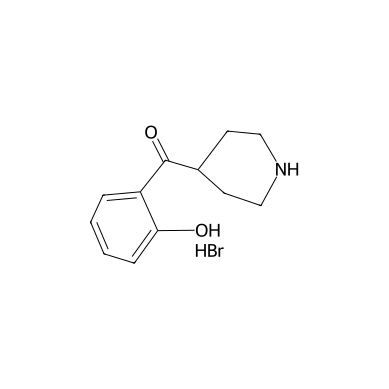 Br.O=C(c1ccccc1O)C1CCNCC1